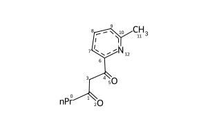 CCCC(=O)CC(=O)c1cccc(C)n1